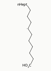 CCCCCCCCCC[CH]CCCCCC(=O)O